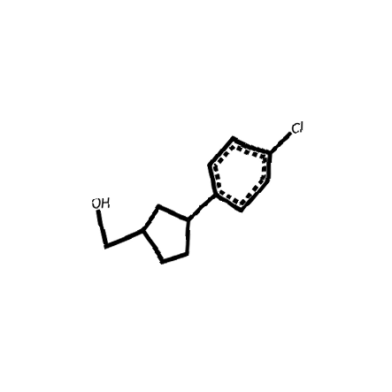 OCC1CCC(c2ccc(Cl)cc2)C1